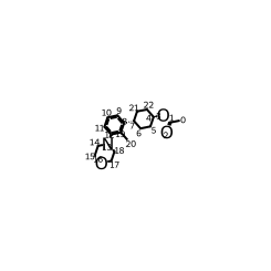 CC(=O)O[C@H]1CC[C@H](c2cccc(N3CCOCC3)c2C)CC1